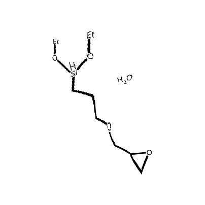 CCO[SiH](CCCOCC1CO1)OCC.O